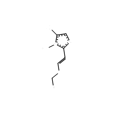 CC(C)CS/C=C/c1ncc(C(C)(C)C)n1C